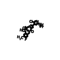 Cc1cc(CO)c(CN2CC3(COC3)Cn3cc(-c4cc(NC(C)C)ncc4Cl)cc3C2=O)cc1F